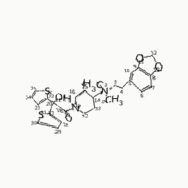 C[N+](C)(CCc1ccc2c(c1)OCO2)C1CCN(C(=O)C(O)(c2cccs2)c2cccs2)CC1